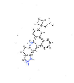 C[C](C)CC1(c2ccc(-c3nc4c(cc3-c3ccccc3)-c3n[nH]cc3CC4)cc2)CCC1